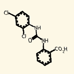 O=C(Nc1ccc(Cl)cc1Cl)Nc1ccccc1C(=O)O